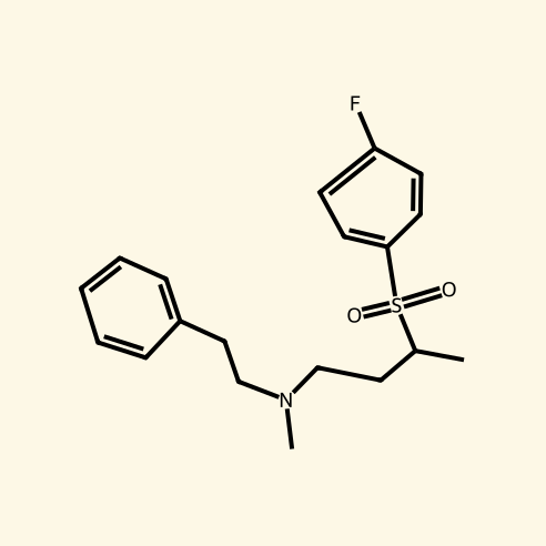 CC(CCN(C)CCc1ccccc1)S(=O)(=O)c1ccc(F)cc1